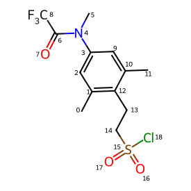 Cc1cc(N(C)C(=O)C(F)(F)F)cc(C)c1CCS(=O)(=O)Cl